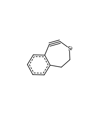 C1#Cc2ccccc2CC[Si]1